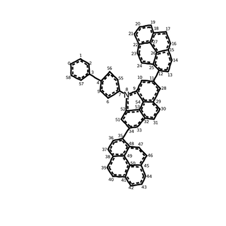 c1ccc(-c2ccc(-n3c4cc(-c5ccc6ccc7cccc8ccc5c6c78)cc5ccc6cc(-c7ccc8ccc9cccc%10ccc7c8c9%10)cc3c6c54)cc2)cc1